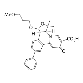 COCCCOC1OC(C)(C)[C@@H]2[C@H]1c1ccc(-c3ccccc3)cc1-c1cc(=O)c(C(=O)O)cn12